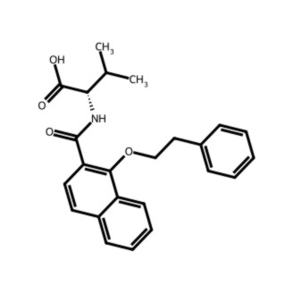 CC(C)[C@H](NC(=O)c1ccc2ccccc2c1OCCc1ccccc1)C(=O)O